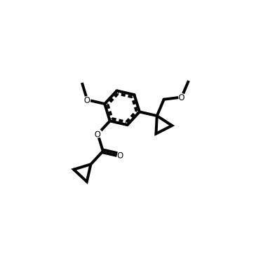 COCC1(c2ccc(OC)c(OC(=O)C3CC3)c2)CC1